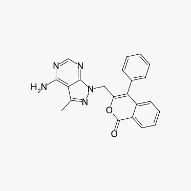 Cc1nn(Cc2oc(=O)c3ccccc3c2-c2ccccc2)c2ncnc(N)c12